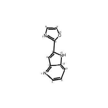 c1cnc2cc(-c3ncco3)[nH]c2c1